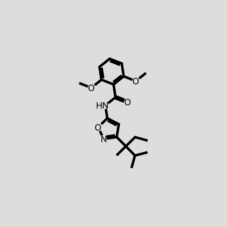 CCC(C)(c1cc(NC(=O)c2c(OC)cccc2OC)on1)C(C)C